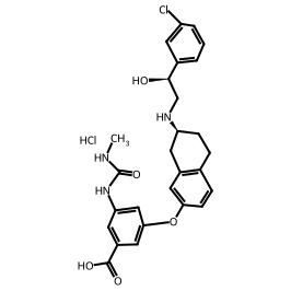 CNC(=O)Nc1cc(Oc2ccc3c(c2)C[C@@H](NC[C@@H](O)c2cccc(Cl)c2)CC3)cc(C(=O)O)c1.Cl